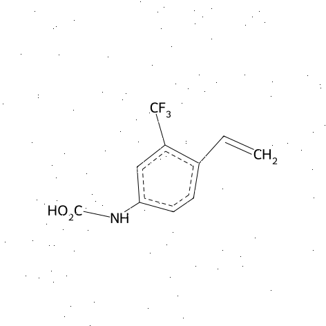 C=Cc1ccc(NC(=O)O)cc1C(F)(F)F